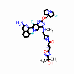 CN(CC1CN(C(=O)/C=C/c2nc(C(C)(C)O)no2)C1)c1nc(OC[C@@]23CCCN2C[C@H](F)C3)nc2c(F)c(-c3nc(N)cc4cccc(F)c34)ncc12